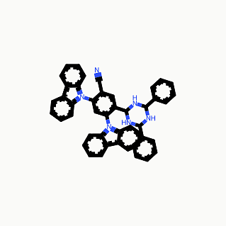 N#Cc1cc(C2NC(c3ccccc3)NC(c3ccccc3)N2)c(-n2c3ccccc3c3ccccc32)cc1-n1c2ccccc2c2ccccc21